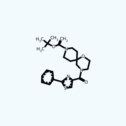 C=C(OC(C)(C)C)N1CCC2(CC1)CN(C(=O)c1csc(-c3ccccc3)n1)CCO2